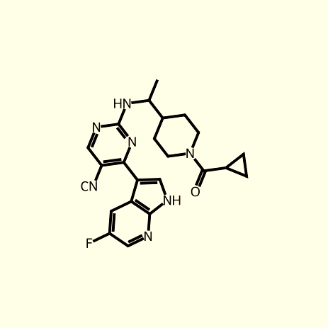 [C-]#[N+]c1cnc(NC(C)C2CCN(C(=O)C3CC3)CC2)nc1-c1c[nH]c2ncc(F)cc12